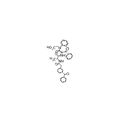 CC(NC(=O)Cc1cccc(C(=O)c2ccccc2)c1)C(=O)N[C@@H]1C(=O)N(CC(=O)O)c2ccccc2O[C@@H]1c1ccccc1